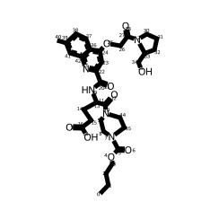 CCCCOC(=O)N1CCN(C(=O)C(CCC(=O)O)NC(=O)c2cc(OCC(=O)N3CCCC3CO)c3ccc(C)cc3n2)CC1